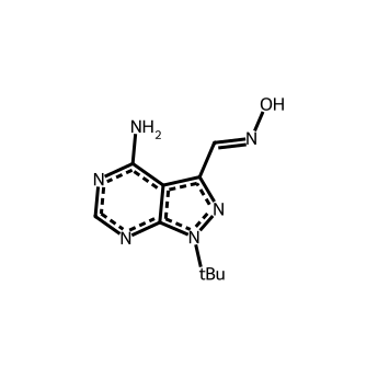 CC(C)(C)n1nc(C=NO)c2c(N)ncnc21